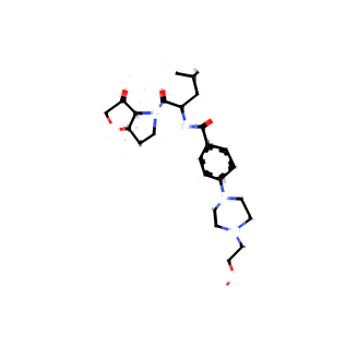 COCCN1CCN(c2ccc(C(=O)NC(CC(C)C)C(=O)N3CC[C@H]4OCC(=O)[C@H]43)cc2)CC1